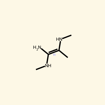 CN/C(C)=C(\N)NC